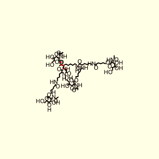 CC(=O)N[C@H]1C(O)[C@@H](O)C(CO)O[C@H]1OCCCCC(=O)NCCCCC(NC(=O)CCCCO[C@@H]1OC(CO)[C@H](O)C(O)[C@@H]1NC(C)=O)C(=O)NCCCCCC(NC(=O)C(CCCCNC(=O)CCCCO[C@@H]1OC(CO)[C@H](O)C(O)[C@@H]1NC(C)=O)NC(=O)CCCCO[C@@H]1OC(CO)[C@H](O)C(O)[C@@H]1NC(C)=O)C(C)=O